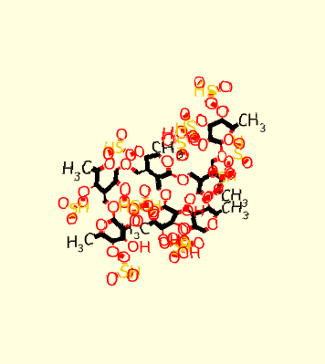 CC1O[C@@H](OCC2[C@H](OCC3[C@H](OC[C@@H]4C(OO[SH](=O)=O)COC(C)[C@H]4OO[SH](=O)=O)OC(C)[C@@H](OO[SH](=O)=O)[C@@H]3CO[C@@H]3OC(C)[C@@H](OO[SH](=O)=O)[C@H](OS(=O)(=O)O)C3OO[SH](=O)=O)OC(C)[C@@H](OO[SH](=O)=O)[C@@H]2CO[C@@H]2OC(C)[C@@H](OO[SH](=O)=O)[C@H](CO[C@@H]3OC(C)[C@@H](OO[SH](=O)=O)[C@H](O)C3OO[SH](=O)=O)C2OO[SH](=O)=O)C(O)[C@@H](OS(=O)(=O)O)[C@@H]1O